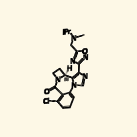 CC(C)N(C)Cc1nc(-c2ncn3c2[C@@H]2CCN2C(=O)c2c(Cl)cccc2-3)no1